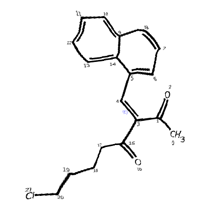 CC(=O)/C(=C\c1cccc2ccccc12)C(=O)CCCCCl